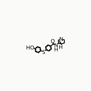 O=C(NC1CN2CC[C@H]1C2)c1ccc(Sc2ccc(O)cc2)cc1